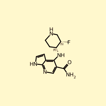 NC(=O)c1cnc2[nH]ccc2c1N[C@@H]1CCNC[C@@H]1F